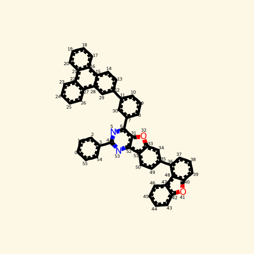 c1ccc(-c2nc(-c3cccc(-c4ccc5c6ccccc6c6ccccc6c5c4)c3)c3oc4cc(-c5cccc6oc7ccccc7c56)ccc4c3n2)cc1